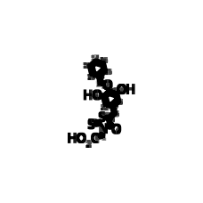 O=C(O)CN1C(=O)C(Cc2cc(O)c(OCc3ccccc3)c(O)c2)SC1=S